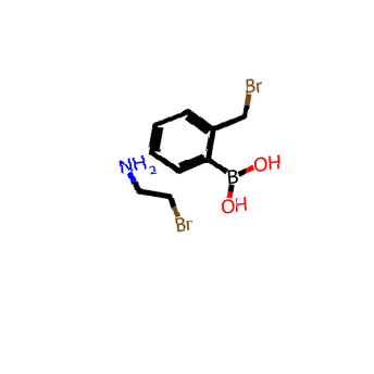 NCCBr.OB(O)c1ccccc1CBr